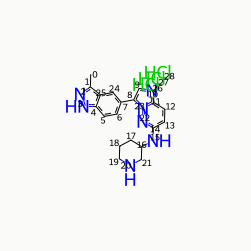 Cc1n[nH]c2ccc(-c3cnc4ccc(NC5CCCNC5)nn34)cc12.Cl.Cl.Cl